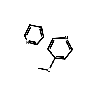 COc1ccncc1.c1ccncc1